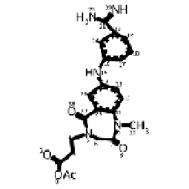 CC(=O)OC(=O)CCN1CC(=O)N(C)c2ccc(Nc3cccc(C(=N)N)c3)cc2C1=O